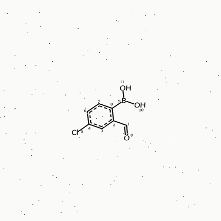 O=Cc1cc(Cl)ccc1B(O)O